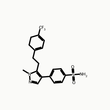 Cn1ncc(-c2ccc(S(N)(=O)=O)cc2)c1CCC1=CC=C(C(F)(F)F)CC1